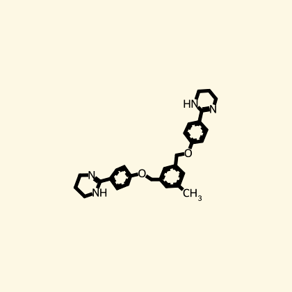 Cc1cc(COc2ccc(C3=NCCCN3)cc2)cc(COc2ccc(C3=NCCCN3)cc2)c1